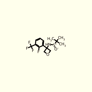 CC(C)(C)[S+]([O-])NC1(c2cccc(C(F)(F)F)c2F)COC1